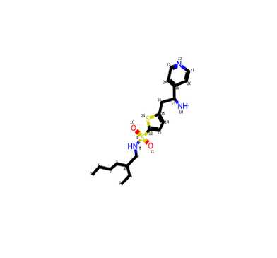 CCCCC(CC)CNS(=O)(=O)c1ccc(CC([NH])c2ccncc2)s1